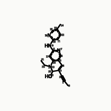 CC#CC1=Cc2cnc(Nc3ccc(C)cn3)cc2N(CC)C1O